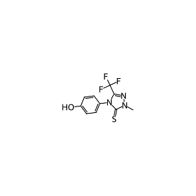 Cn1nc(C(F)(F)F)n(-c2ccc(O)cc2)c1=S